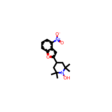 CC1(C)CC(c2cc3c([N+](=O)[O-])cccc3o2)CC(C)(C)N1O